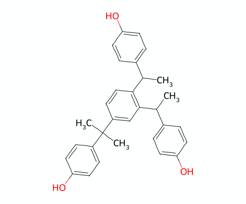 CC(c1ccc(O)cc1)c1ccc(C(C)(C)c2ccc(O)cc2)cc1C(C)c1ccc(O)cc1